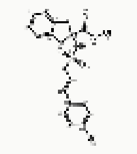 O=C(NO)C1(NS(=O)(=O)CC=Cc2ccc(Br)cc2)Cc2ccccc2C1